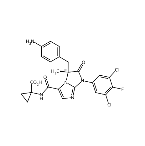 C[C@@]1(Cc2ccc(N)cc2)C(=O)N(c2cc(Cl)c(F)c(Cl)c2)c2ncc(C(=O)NC3(C(=O)O)CC3)n21